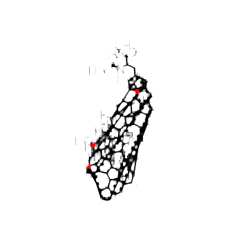 COC(=O)C(Cc1ccc(NC2CCC34c5c6c7c8c9c%10c%11c%12c%13c%14c%15c%11c8c5C%15=C5C8C%14C%11CC%13[C@H]%13C%14C%12C%10C%10C%12C=C9C9C7CC6[C@@H]3[C@@H]3[C@H]6[C@@H](C)[C@@H]9[C@@H]7[C@H]9[C@H]%15[C@@H]%16C(C%14C%10[C@H]%12[C@@H]%167)[C@H]%13[C@@H]%11[C@H]%15[C@@H](C)[C@H]([C@@H]69)[C@H]3[C@H]8C54C2)cc1)NC(C)=O